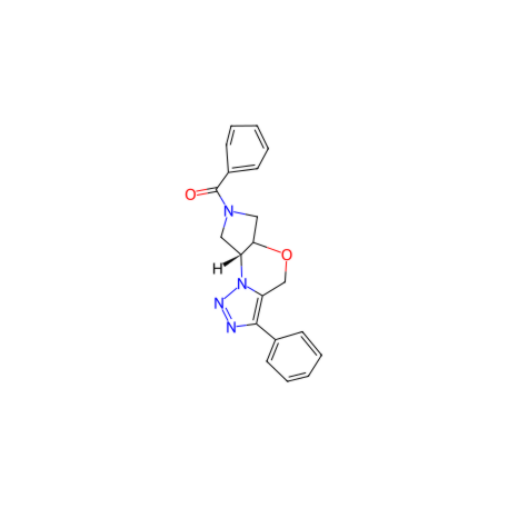 O=C(c1ccccc1)N1CC2OCc3c(-c4ccccc4)nnn3[C@@H]2C1